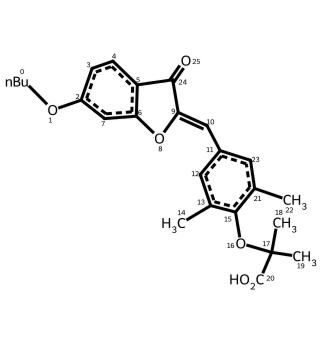 CCCCOc1ccc2c(c1)OC(=Cc1cc(C)c(OC(C)(C)C(=O)O)c(C)c1)C2=O